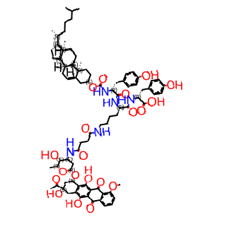 COc1cccc2c1C(=O)c1c(O)c3c(c(O)c1C2=O)C[C@@](O)(C(C)=O)C[C@@H]3O[C@H]1C[C@H](NC(=O)CCC(=O)NCCCC[C@@H](NC(=O)[C@@H](Cc2ccc(O)cc2)NC(=O)O[C@H]2CC[C@@]3(C)C(=CC[C@H]4[C@@H]5CC[C@H]([C@H](C)CCCC(C)C)[C@@]5(C)CC[C@@H]43)C2)C(=O)N[C@H](Cc2ccc(O)cc2)C(=O)O)[C@H](O)[C@H](C)O1